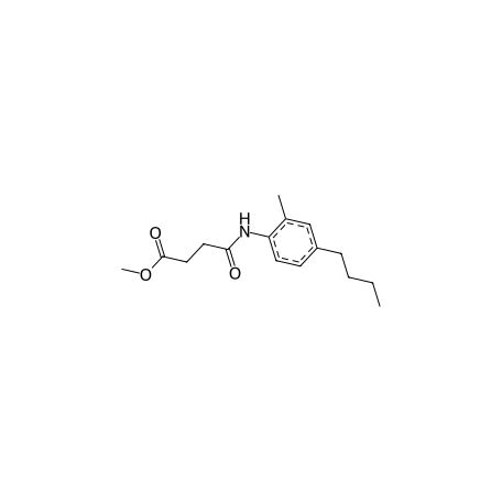 CCCCc1ccc(NC(=O)CCC(=O)OC)c(C)c1